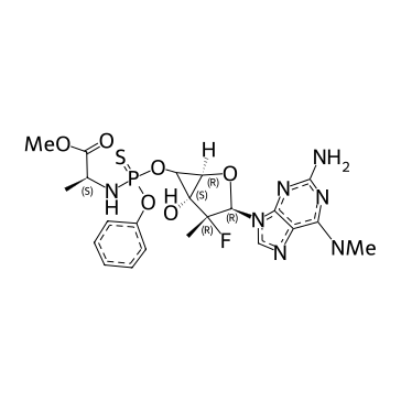 CNc1nc(N)nc2c1ncn2[C@@H]1O[C@@H]2C(OP(=S)(N[C@@H](C)C(=O)OC)Oc3ccccc3)[C@]2(O)[C@@]1(C)F